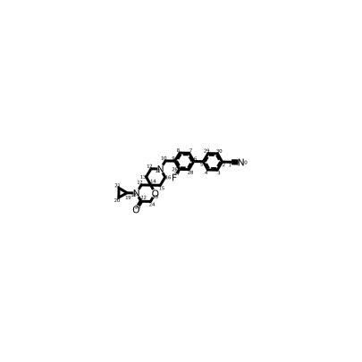 N#Cc1ccc(-c2ccc(CN3CCC4(CC3)CN(C3CC3)C(=O)CO4)c(F)c2)cc1